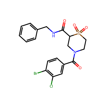 O=C(NCc1ccccc1)C1CN(C(=O)c2ccc(Br)c(Cl)c2)CCS1(=O)=O